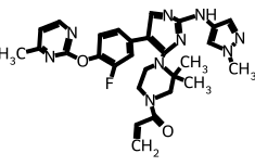 C=CC(=O)N1CCN(c2nc(Nc3cnn(C)c3)ncc2-c2ccc(Oc3nccc(C)n3)c(F)c2)C(C)(C)C1